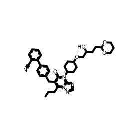 CCCc1c(Cc2ccc(-c3ccccc3C#N)cc2)c(=O)n(C2CCC(OCC(O)CCC3OCCCO3)CC2)c2ncnn12